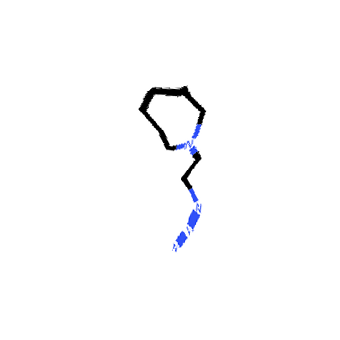 [N-]=[N+]=NCCN1C[CH]CCC1